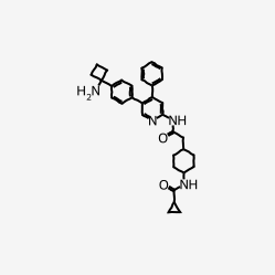 NC1(c2ccc(-c3cnc(NC(=O)CC4CCC(NC(=O)C5CC5)CC4)cc3-c3ccccc3)cc2)CCC1